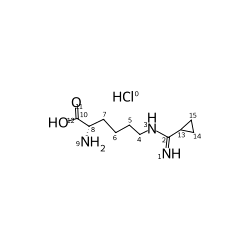 Cl.N=C(NCCCC[C@H](N)C(=O)O)C1CC1